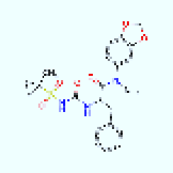 CN(C(=O)C(Cc1ccccc1)NC(=O)NS(=O)(=O)C1(C)CC1)c1ccc2c(c1)OCO2